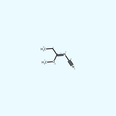 CC/C(=N/C#N)OC